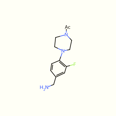 CC(=O)N1CCN(c2ccc(CN)cc2F)CC1